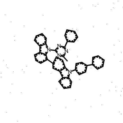 Cc1nc(-c2ccccc2)nc(-n2c3ccccc3c3cccc(-c4ccc5c(c4)c4ccccc4n5-c4ccc(-c5ccccc5)cc4)c32)n1